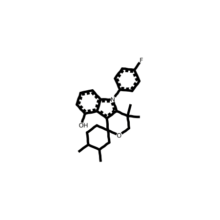 CC1CCC2(CC1C)OCC(C)(C)c1c2c2c(O)cccc2n1-c1ccc(F)cc1